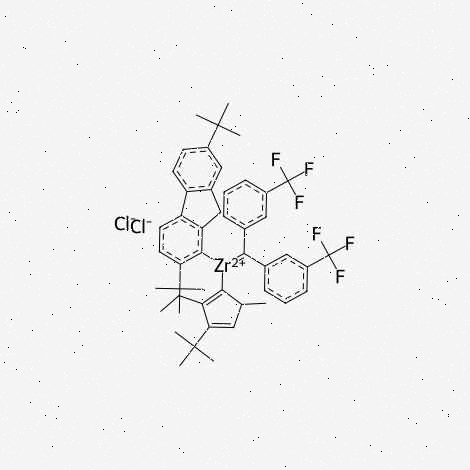 CCC1=[C]([Zr+2](=[C](c2cccc(C(F)(F)F)c2)c2cccc(C(F)(F)F)c2)[c]2c(C(C)(C)C)ccc3c2Cc2cc(C(C)(C)C)ccc2-3)C(C)C=C1C(C)(C)C.[Cl-].[Cl-]